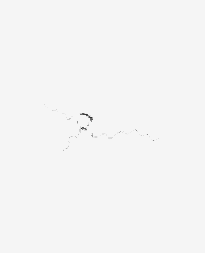 CCCCCCCCCC[n+]1ccn(CCCCCC)c1CCCC